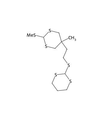 CSC1SCC(C)(CCSC2SCCCS2)CS1